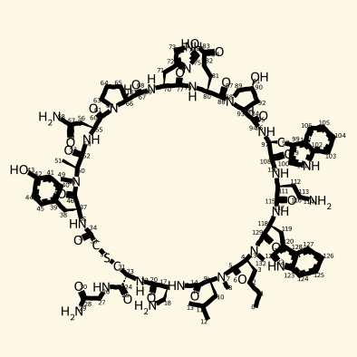 CCCC[C@H]1C(=O)N(C)[C@@H](CC(C)C)C(=O)N[C@@H](CN)C(=O)N[C@H](C(=O)NCC(N)=O)CSCC(=O)N[C@@H](Cc2ccc(O)cc2)C(=O)N(C)[C@@H](C)C(=O)N[C@@H](CC(N)=O)C(=O)N2CCC[C@H]2C(=O)N[C@@H](Cc2c[nH]cn2)C(=O)N[C@@H](CCC(=O)O)C(=O)N2C[C@H](O)C[C@H]2C(=O)N[C@@H](Cc2c[nH]c3ccccc23)C(=O)N[C@@H](CCN)C(=O)N[C@@H](Cc2c[nH]c3ccccc23)C(=O)N1C